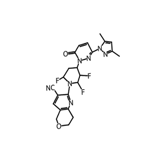 Cc1cc(C)n(-c2ccc(=O)n(C3CC(F)N(c4nc5c(cc4C#N)COCC5)C(F)C3F)n2)n1